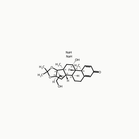 CC1(C)O[C@@H]2C[C@H]3[C@@H]4CCC5=CC(=O)C=C[C@]5(C)[C@@]4(F)[C@@H](O)C[C@]3(C)[C@]2(C(=O)CO)O1.[NaH].[NaH]